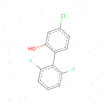 Oc1cc(Cl)ccc1-c1c(F)cccc1F